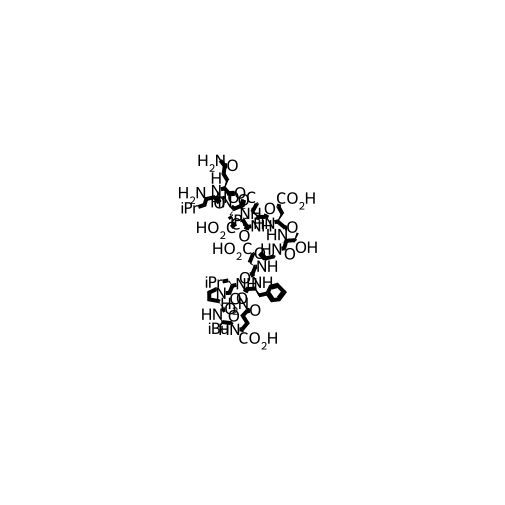 CC[C@H](C)[C@H](NC(=O)[C@@H]1CCCN1C(=O)[C@H](CC(C)C)NC(=O)[C@H](Cc1ccccc1)NC(=O)[C@H](CCC(=O)O)NC(=O)CNC(=O)[C@@H](NC(=O)[C@H](CCC(=O)O)NC(=O)[C@H](CCC(=O)O)NC(=O)[C@H](CC(=O)O)NC(=O)[C@H](CC(C)C)NC(=O)[C@H](CCC(N)=O)NC(=O)[C@@H](N)CC(C)C)[C@@H](C)O)C(=O)N[C@@H](CCC(N)=O)C(=O)O